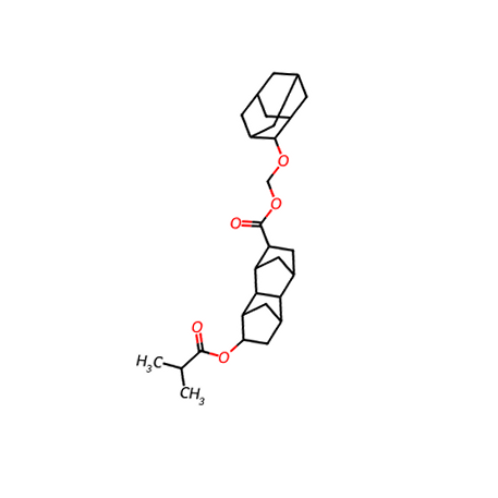 CC(C)C(=O)OC1CC2CC1C1C3CC(CC3C(=O)OCOC3C4CC5CC(C4)CC3C5)C21